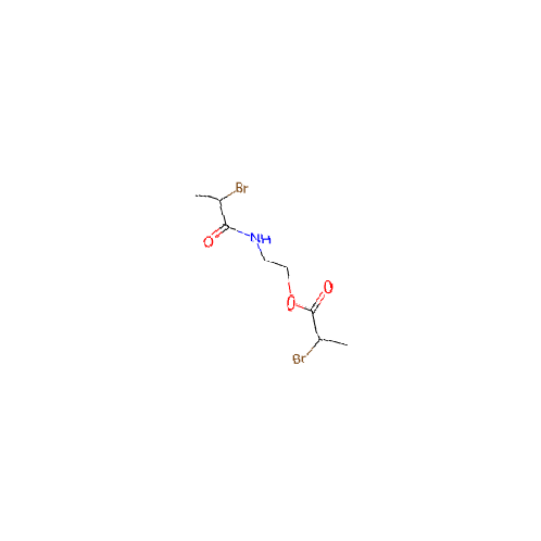 CC(Br)C(=O)NCCOC(=O)C(C)Br